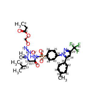 CCC(=O)OCON=[N+]([O-])N(C)[C@@H](CC(C)C)C(=O)NS(=O)(=O)c1ccc(-n2nc(C(F)(F)F)cc2-c2ccc(C)cc2)cc1